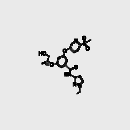 CCn1ccc(NC(=O)c2cc(Oc3ccc(S(C)(=O)=O)nc3)cc(O[C@@H](C)CO)c2)n1